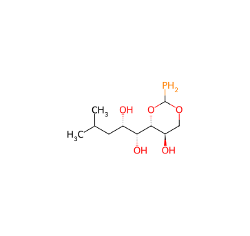 CC(C)C[C@H](O)[C@@H](O)[C@@H]1OC(P)OC[C@H]1O